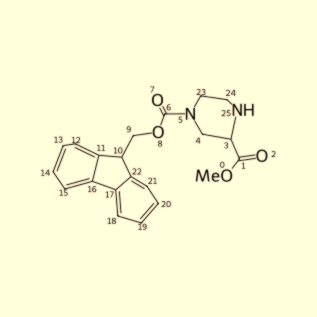 COC(=O)C1CN(C(=O)OCC2c3ccccc3-c3ccccc32)CCN1